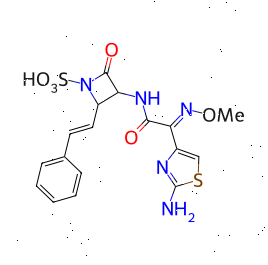 CON=C(C(=O)NC1C(=O)N(S(=O)(=O)O)C1C=Cc1ccccc1)c1csc(N)n1